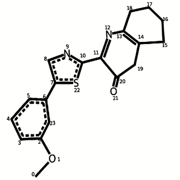 COc1cccc(-c2cnc(C3=NC4=C(CCCC4)CC3=O)s2)c1